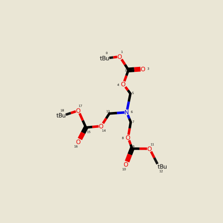 CC(C)(C)OC(=O)OCN(COC(=O)OC(C)(C)C)COC(=O)OC(C)(C)C